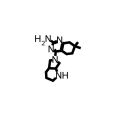 CC1(C)CCc2c(nc(N)nc2N2CC3CCCNC3C2)C1